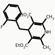 CCOC(=O)C1=C(C)NC(C)=C(C(=O)OCC)C1Cc1ccccc1F